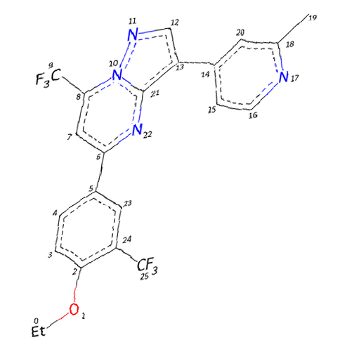 CCOc1ccc(-c2cc(C(F)(F)F)n3ncc(-c4ccnc(C)c4)c3n2)cc1C(F)(F)F